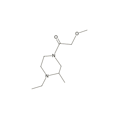 CCN1CCN(C(=O)COC)CC1C